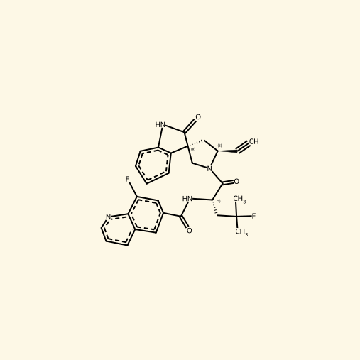 C#C[C@@H]1C[C@@]2(CN1C(=O)[C@H](CC(C)(C)F)NC(=O)c1cc(F)c3ncccc3c1)C(=O)Nc1ccccc12